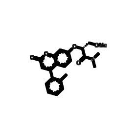 COC[C@@H](Oc1ccc2c(-c3ccccc3C)cc(=O)oc2c1)C(=O)N(C)C